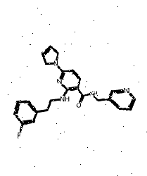 O=C(NCc1cccnc1)c1ccc(N2CC=CC2)nc1NCCc1cccc(F)c1